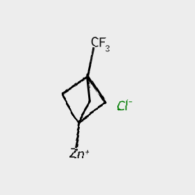 FC(F)(F)C12C[C]([Zn+])(C1)C2.[Cl-]